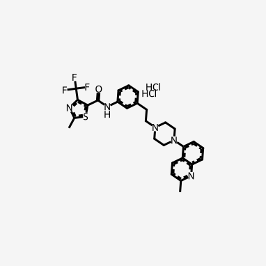 Cc1ccc2c(N3CCN(CCc4cccc(NC(=O)c5sc(C)nc5C(F)(F)F)c4)CC3)cccc2n1.Cl.Cl